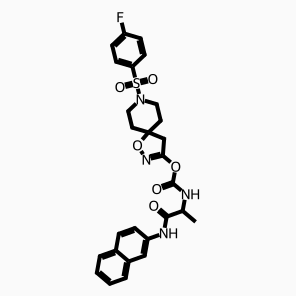 CC(NC(=O)OC1=NOC2(CCN(S(=O)(=O)c3ccc(F)cc3)CC2)C1)C(=O)Nc1ccc2ccccc2c1